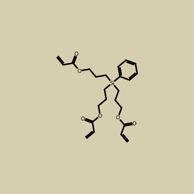 C=CC(=O)OCCC[Si](CCCOC(=O)C=C)(CCCOC(=O)C=C)c1ccccc1